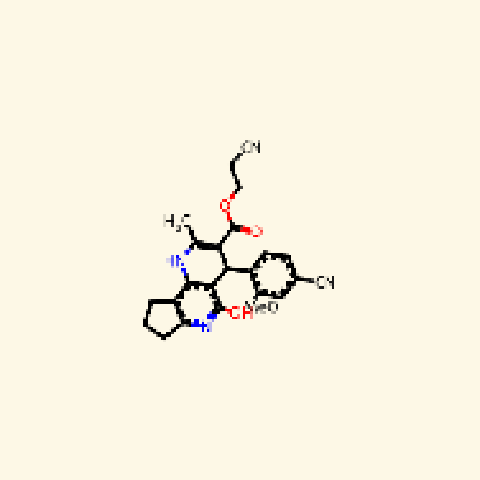 COc1cc(C#N)ccc1C1C(C(=O)OCCC#N)=C(C)Nc2c3c(nc(O)c21)CCC3